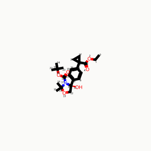 CCOC(=O)C1(c2ccc([C@]3(O)COC(C)(C)N3C(=O)OC(C)(C)C)cc2)CC1